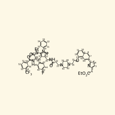 CCOC(=O)Cc1csc(-c2ccc3cccc(OCCN4CCN(CCC(=O)NCc5nn(-c6ccccc6)c6c5[C@H](c5ccc(F)cc5)[C@H](NC(=O)c5cccc(C(F)(F)F)c5)C(=O)N6CC)CC4)c3c2)n1